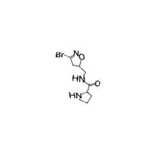 O=C(NCC1CC(Br)=NO1)C1CCCN1